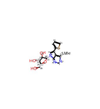 CSc1ncnc2c1c(-c1cccs1)cn2[C@@H]1O[C@H](CO)[C@@H](O)[C@H]1O